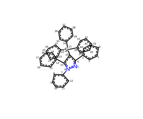 c1ccc(-c2nn(-c3ccccc3)c(-c3ccccc3)c2[Si](c2ccccc2)(c2ccccc2)c2ccccc2)cc1